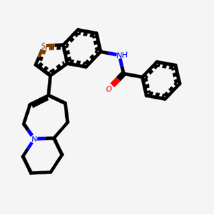 O=C(Nc1ccc2scc(C3=CCN4CCCCC4CC3)c2c1)c1ccccc1